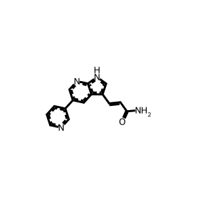 NC(=O)C=Cc1c[nH]c2ncc(-c3cccnc3)cc12